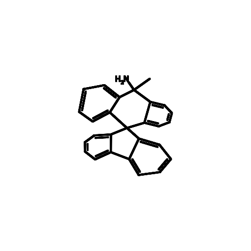 CC1(N)c2ccccc2C2(c3ccccc3-c3ccccc32)c2ccccc21